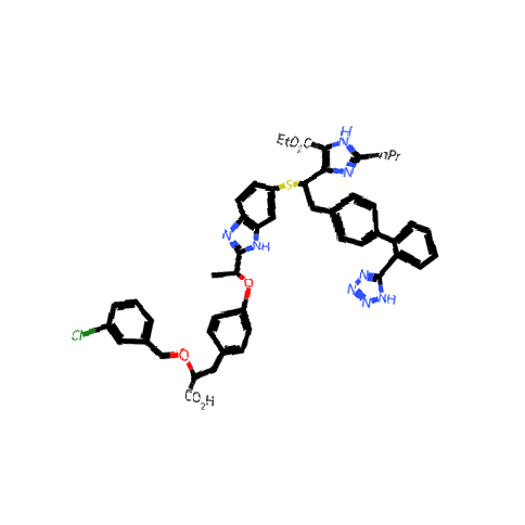 CCCc1nc(C(Cc2ccc(-c3ccccc3-c3nnn[nH]3)cc2)Sc2ccc3nc(C(C)Oc4ccc(CC(OCc5cccc(Cl)c5)C(=O)O)cc4)[nH]c3c2)c(C(=O)OCC)[nH]1